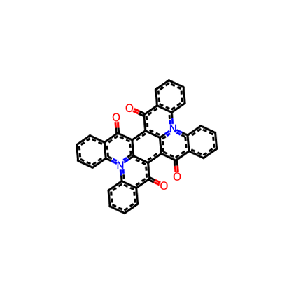 O=c1c2ccccc2n2c3ccccc3c(=O)c3c4c(=O)c5ccccc5n5c6ccccc6c(=O)c(c1c32)c45